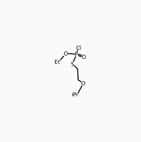 CCOP(=O)(Cl)SCCOC(C)C